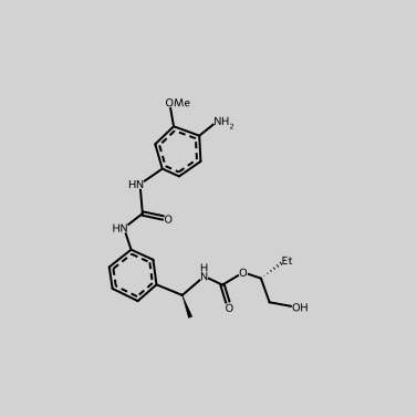 CC[C@H](CO)OC(=O)N[C@@H](C)c1cccc(NC(=O)Nc2ccc(N)c(OC)c2)c1